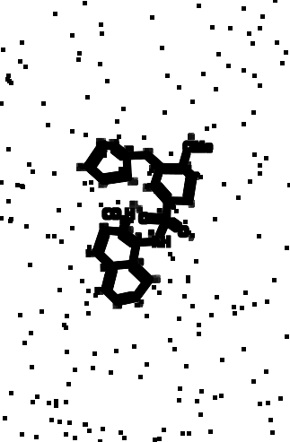 COc1ccc(S(=O)(=O)Nc2c(C(=O)O)ccc3ccccc23)cc1Cc1ccccc1